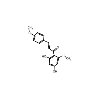 COc1ccc(/C=C/C(=O)c2c(O)cc(O)cc2OC)cc1